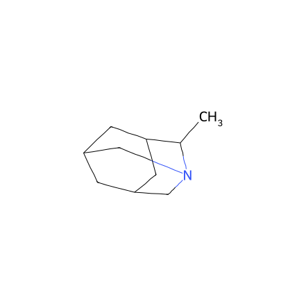 CC1C2CC3CC(C2)CN1C3